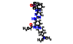 C=CC(=O)Nc1cc(Nc2nccc(Nc3ccccc3P(C)(C)=O)n2)ccc1N1CCC2(CC1)CC(N(C)C)C2